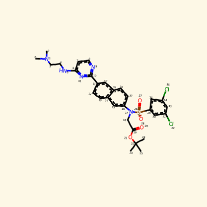 CN(C)CCNc1ccnc(-c2ccc3cc(N(CC(=O)OC(C)(C)C)S(=O)(=O)c4cc(Cl)cc(Cl)c4)ccc3c2)n1